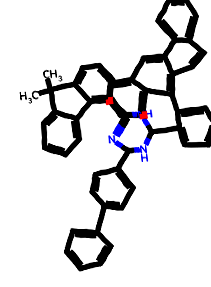 CC1(C)c2ccccc2-c2c(C3=NC(c4ccc(-c5ccccc5)cc4)NC(c4ccccc4-c4c5ccccc5cc5c4ccc4ccccc45)N3)cccc21